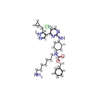 Cn1ncc(-c2nc(NC3CCC(N(CCCCCCCN)C(=O)OCc4ccccc4)CC3)ncc2Cl)c1CC1CC1